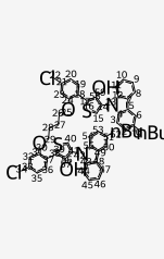 CCCCc1ccc2c(c1)c1ccccc1n2-c1csc(-c2ccc(Cl)cc2OCCCCOc2cc(Cl)ccc2-c2scc(-n3c4ccccc4c4cc(CCCC)ccc43)c2O)c1O